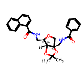 CC1(C)O[C@@H]2[C@@H](CNC(=O)c3cccc4ccccc34)OC[C@]2(CNC(=O)c2ccccc2)O1